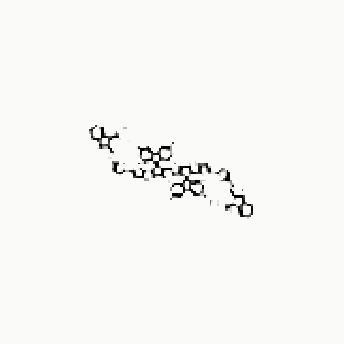 Cc1ccc(C2(c3ccc(C)cc3)c3c(sc4cc(-c5ccc(C/C=C6\C(=O)c7ccccc7C6=C(C#N)C#N)s5)sc34)-c3sc4c5c(sc4c32)-c2sc3cc(-c4ccc(N/C=C6\C(=O)c7ccccc7C6=C(C#N)C#N)s4)sc3c2C5(c2ccc(C)cc2)c2ccc(C)cc2)cc1